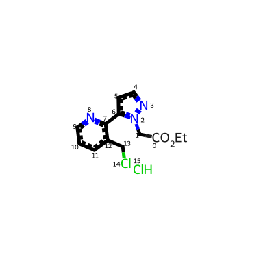 CCOC(=O)Cn1nccc1-c1ncccc1CCl.Cl